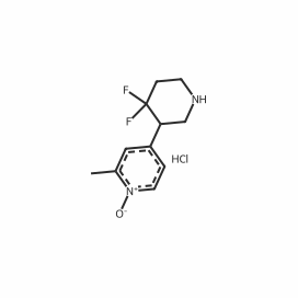 Cc1cc(C2CNCCC2(F)F)cc[n+]1[O-].Cl